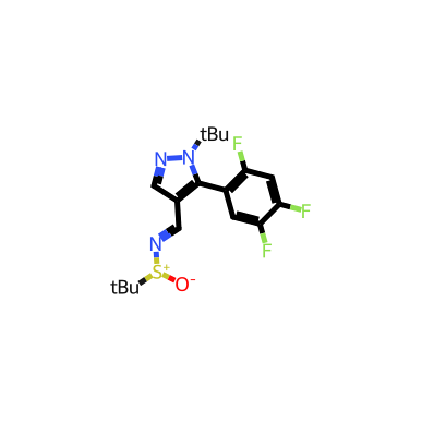 CC(C)(C)n1ncc(C=N[S+]([O-])C(C)(C)C)c1-c1cc(F)c(F)cc1F